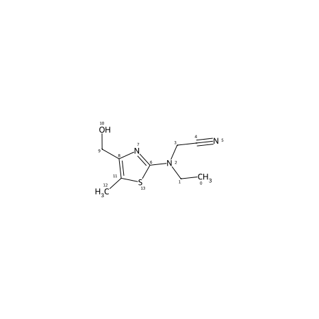 CCN(CC#N)c1nc(CO)c(C)s1